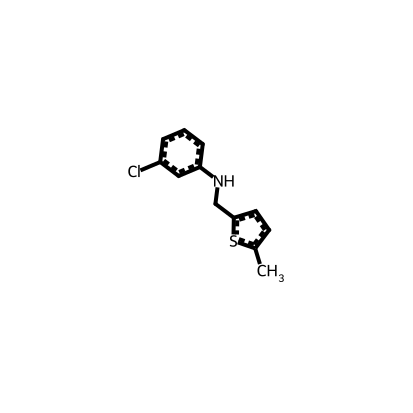 Cc1ccc(CNc2cccc(Cl)c2)s1